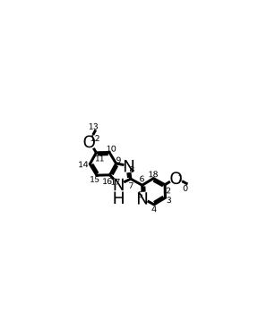 COc1ccnc(-c2nc3cc(OC)ccc3[nH]2)c1